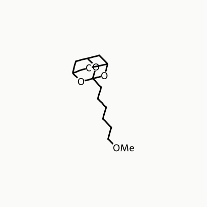 COCCCCCCC12OC3CC(CC(C3)O1)O2